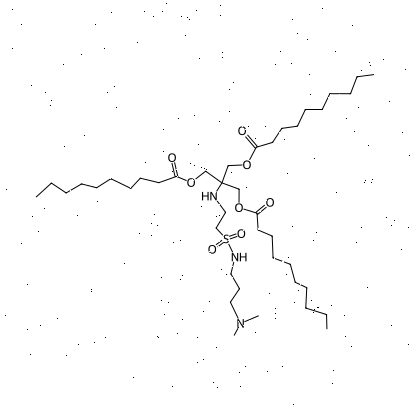 CCCCCCCCCC(=O)OCC(COC(=O)CCCCCCCCC)(COC(=O)CCCCCCCCC)NCCS(=O)(=O)NCCCN(C)C